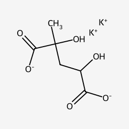 CC(O)(CC(O)C(=O)[O-])C(=O)[O-].[K+].[K+]